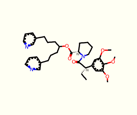 CC[C@H](C(=O)N1CCCC[C@H]1C(=O)OC(CCCc1cccnc1)CCCc1cccnc1)c1cc(OC)c(OC)c(OC)c1